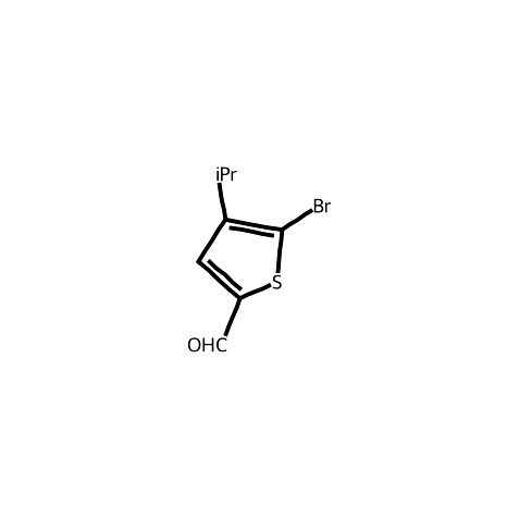 CC(C)c1cc(C=O)sc1Br